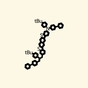 CC(C)(C)c1ccc(/C(=C\c2ccc(-c3ccccc3)cc2)Cc2ccc3c(c2)sc2cc4cc5sc6cc(N(c7ccc(-c8ccccc8)cc7)c7ccc(C(C)(C)C)cc7)ccc6c5cc4cc23)cc1